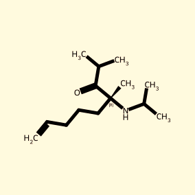 C=CCCC[C@@](C)(NC(C)C)C(=O)C(C)C